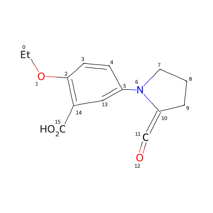 CCOc1ccc(N2CCCC2=C=O)cc1C(=O)O